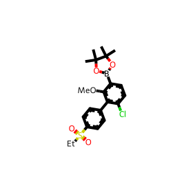 CCS(=O)(=O)c1ccc(-c2c(Cl)ccc(B3OC(C)(C)C(C)(C)O3)c2OC)cc1